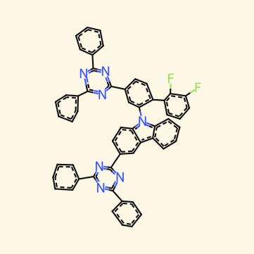 Fc1cccc(-c2ccc(-c3nc(-c4ccccc4)nc(-c4ccccc4)n3)cc2-n2c3ccccc3c3cc(-c4nc(-c5ccccc5)nc(-c5ccccc5)n4)ccc32)c1F